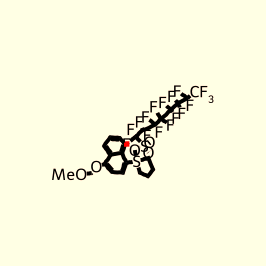 COCOc1ccc(S2(OS(=O)(=O)C(F)(F)C(F)(F)C(F)(F)C(F)(F)C(F)(F)C(F)(F)C(F)(F)C(F)(F)F)CCCC2)c2ccccc12